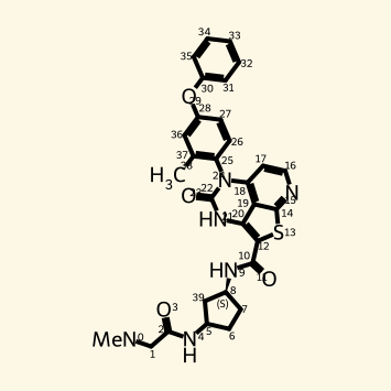 CNCC(=O)NC1CC[C@H](NC(=O)c2sc3nccc4c3c2NC(=O)N4c2ccc(Oc3ccccc3)cc2C)C1